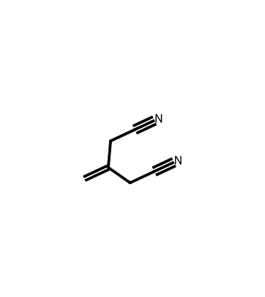 C=C(CC#N)CC#N